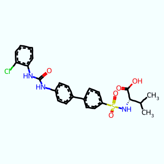 CC(C)[C@H](NS(=O)(=O)c1ccc(-c2ccc(NC(=O)Nc3ccccc3Cl)cc2)cc1)C(=O)O